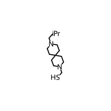 CC(C)CN1CCC2(CCN(CS)CC2)CC1